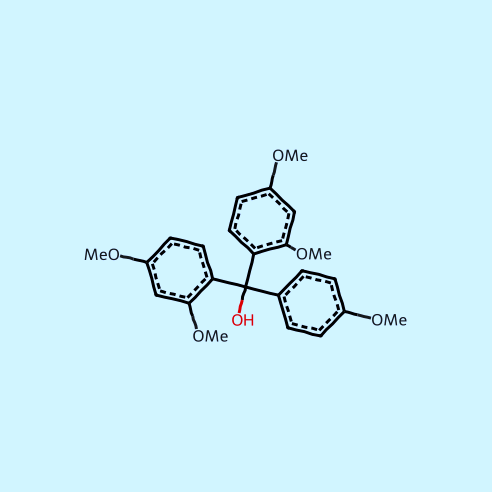 COc1ccc(C(O)(c2ccc(OC)cc2OC)c2ccc(OC)cc2OC)cc1